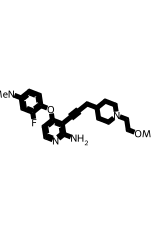 CNc1ccc(Oc2ccnc(N)c2C#CCC2CCN(CCOC)CC2)c(F)c1